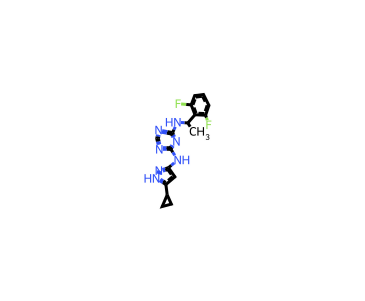 CC(Nc1ncnc(Nc2cc(C3CC3)[nH]n2)n1)c1c(F)cccc1F